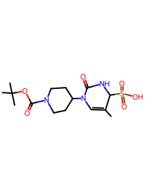 CC1=CN(C2CCN(C(=O)OC(C)(C)C)CC2)C(=O)NC1S(=O)(=O)O